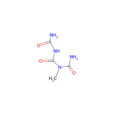 CN(C(N)=O)C(=O)NC(N)=O